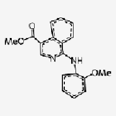 COC(=O)c1cnc(Nc2ccccc2OC)c2ccccc12